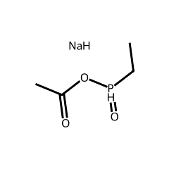 CC[PH](=O)OC(C)=O.[NaH]